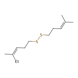 CC/C(C)=C\CCSSCCC=C(C)C